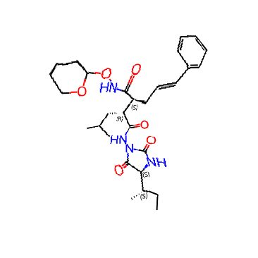 CC[C@H](C)[C@@H]1NC(=O)N(NC(=O)[C@H](CC(C)C)[C@H](CC=Cc2ccccc2)C(=O)NOC2CCCCO2)C1=O